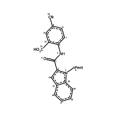 CCCCCn1c(C(=O)Nc2ccc(C#N)cc2C(=O)O)cc2ccccc21